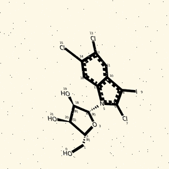 OC[C@H]1O[C@@H](n2c(Cl)c(I)c3cc(Cl)c(Cl)cc32)[C@H](O)[C@@H]1O